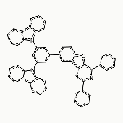 c1ccc(-c2nc(-c3ccccc3)c3oc4ccc(-c5cc(-n6c7ccccc7c7ccccc76)cc(-n6c7ccccc7c7ccccc76)c5)cc4c3n2)cc1